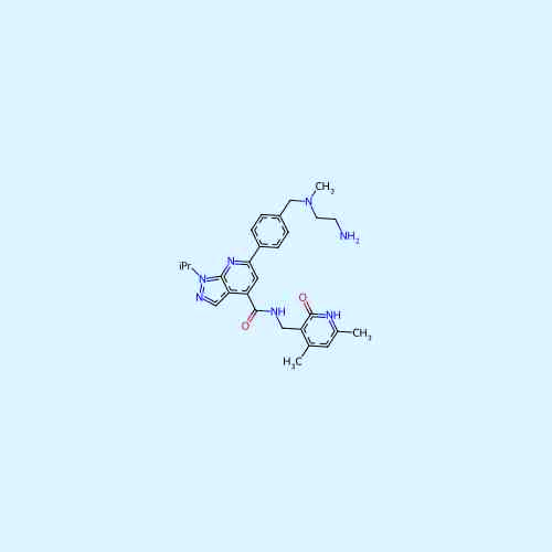 Cc1cc(C)c(CNC(=O)c2cc(-c3ccc(CN(C)CCN)cc3)nc3c2cnn3C(C)C)c(=O)[nH]1